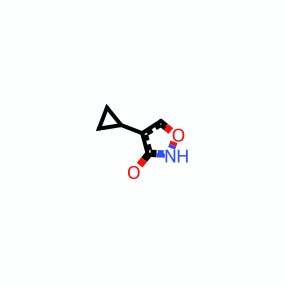 O=c1[nH]occ1C1CC1